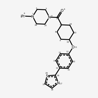 CC(C)N1CCN(C(=O)C2CCC(Oc3ccc(-c4nccs4)cc3)CC2)CC1